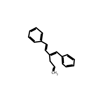 C=CCC(C=Cc1ccccc1)=Cc1ccccc1